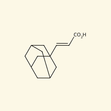 O=C(O)C=CC12CC3CC(CC(C3)C1)C2